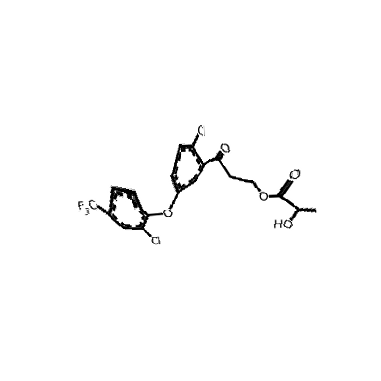 CC(O)C(=O)OCCC(=O)c1cc(Oc2ccc(C(F)(F)F)cc2Cl)ccc1Cl